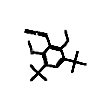 C=C=Cc1c(CC)c(C(C)(C)C)cc(C(C)(C)C)c1OC